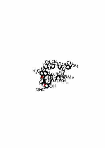 COC(=O)N[C@H]1[C@@H](C)O[C@@H](O[C@H]2C/C=C(\C)[C@H]3C=CC4[C@@H](O[C@H]5C[C@@H](O[C@H]6CCC(O[C@H]7C[C@@H](O)C(O[C@H]8CC[C@@H](O)[C@H](C)O8)[C@H](C)O7)[C@H](C)O6)[C@@H](OC(C)=O)[C@H](C)O5)[C@@H](C)C[C@H](C)[C@H]4[C@]3(C)C(=O)C3=C(O)C4(CC(C=O)=C[C@H](O)[C@H]4/C=C/2C)OC3=O)C[C@]1(C)[N+](=O)[O-]